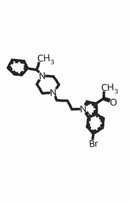 CC(=O)c1cn(CCCN2CCN(C(C)c3ccccc3)CC2)c2cc(Br)ccc12